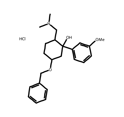 COc1cccc(C2(O)CC(OCc3ccccc3)CCC2CN(C)C)c1.Cl